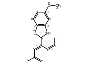 C=C(C)/C=C(\C=C/C)C1Nc2cc(OC(F)(F)F)ccc2O1